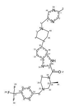 Cc1cnc(CN2CCC(c3ccc4nc(C(=O)N5CCN(Cc6ccc(C(F)(F)F)cc6)C[C@@H]5C)[nH]c4c3)CC2)cn1